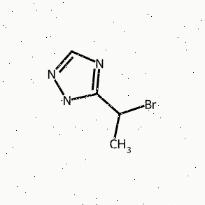 CC(Br)C1=NC=N[N]1